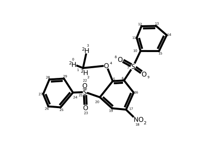 [2H]C([2H])([2H])Oc1c(S(=O)(=O)c2ccccc2)cc([N+](=O)[O-])cc1S(=O)(=O)c1ccccc1